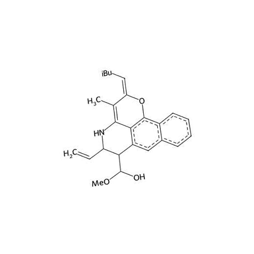 C=CC1NC2=C(C)/C(=C\C(C)CC)Oc3c2c(cc2ccccc32)C1C(O)OC